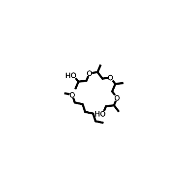 CC(O)COC(C)COC(C)COC(C)CO.CCCCCCOC